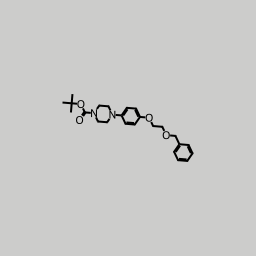 CC(C)(C)OC(=O)N1CCN(c2ccc(OCCOCc3ccccc3)cc2)CC1